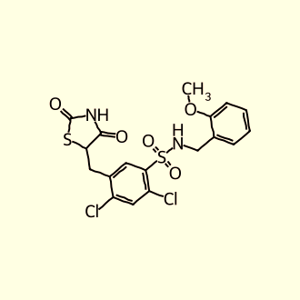 COc1ccccc1CNS(=O)(=O)c1cc(CC2SC(=O)NC2=O)c(Cl)cc1Cl